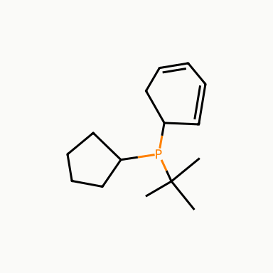 CC(C)(C)P(C1C=CC=CC1)C1CCCC1